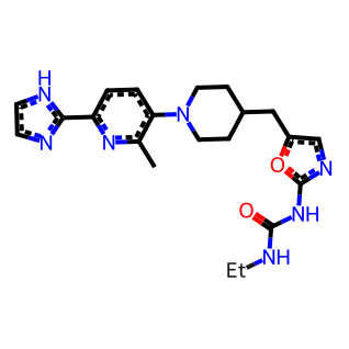 CCNC(=O)Nc1ncc(CC2CCN(c3ccc(-c4ncc[nH]4)nc3C)CC2)o1